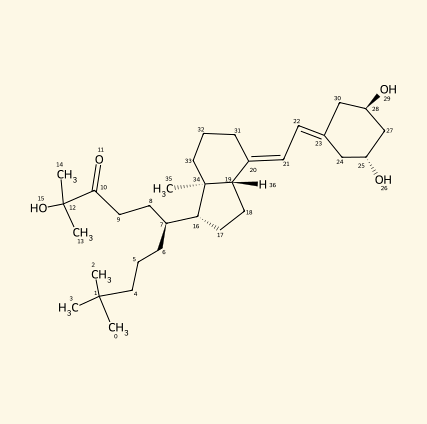 CC(C)(C)CCC[C@@H](CCC(=O)C(C)(C)O)[C@H]1CC[C@H]2/C(=C/C=C3C[C@@H](O)C[C@H](O)C3)CCC[C@]12C